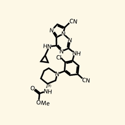 COC(=O)N[C@@H]1CCCN(c2cc(C#N)cc(Nc3nc(NC4CC4)c4ncc(C#N)n4n3)c2Cl)C1